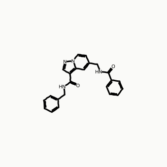 O=C(NCc1ccn2ncc(C(=O)NCc3ccccc3)c2c1)c1ccccc1